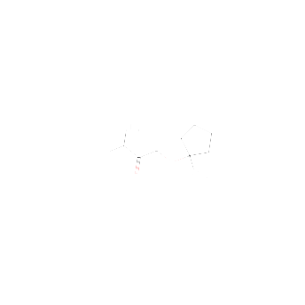 CC(C)C(=O)COC1(C)CCCC1